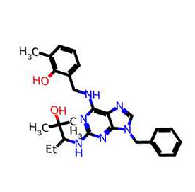 CCC(Nc1nc(NCc2cccc(C)c2O)c2ncn(Cc3ccccc3)c2n1)C(C)(C)O